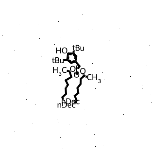 CCCCCCCCCCCCCCCCC(C)OP(=O)(Cc1cc(C(C)(C)C)c(O)c(C(C)(C)C)c1)OC(C)CCCCCCCCCCCCCCCC